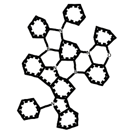 c1ccc(N2c3ccccc3B3c4c2cc2c5c4-n4c6c3cccc6c3c4c(cc4c6ccccc6n(-c6ccccc6)c43)B5c3cccc4c3N2c2ccccc2O4)cc1